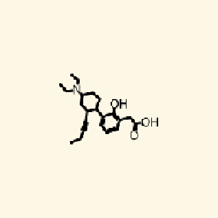 CCC#CC1CC(N(CC)CC)CCC1c1cccc(CC(=O)O)c1O